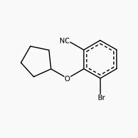 N#Cc1cccc(Br)c1OC1CCCC1